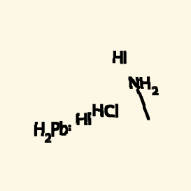 CN.Cl.I.I.[PbH2]